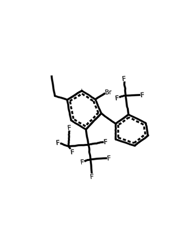 CCc1[c]c(Br)c(-c2ccccc2C(F)(F)F)c(C(F)(C(F)(F)F)C(F)(F)F)c1